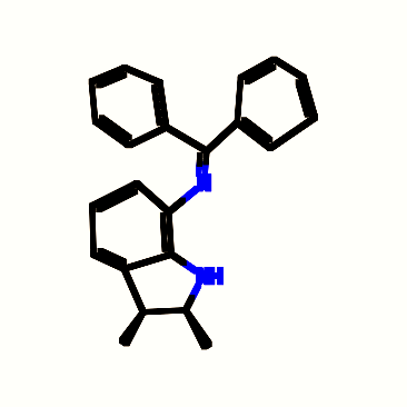 C[C@@H]1Nc2c(N=C(c3ccccc3)c3ccccc3)cccc2[C@@H]1C